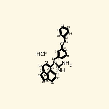 Cl.N=C(N)N(Cc1cccc(OCc2ccccc2)c1)c1ccc2c3c(cccc13)C=C2